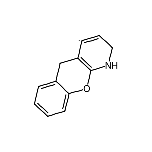 [C]1=CCNC2=C1Cc1ccccc1O2